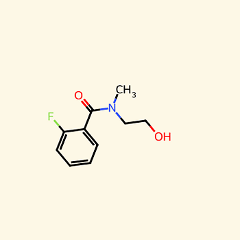 CN(CCO)C(=O)c1ccccc1F